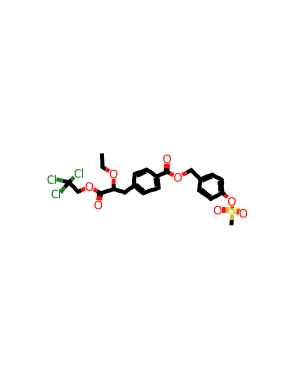 CCOC(Cc1ccc(C(=O)OCc2ccc(OS(C)(=O)=O)cc2)cc1)C(=O)OCC(Cl)(Cl)Cl